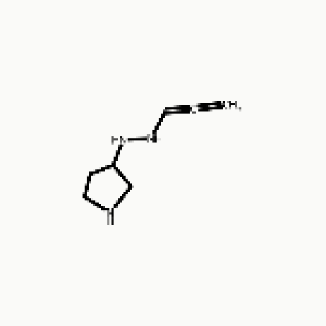 C=C=CNNC1CCNC1